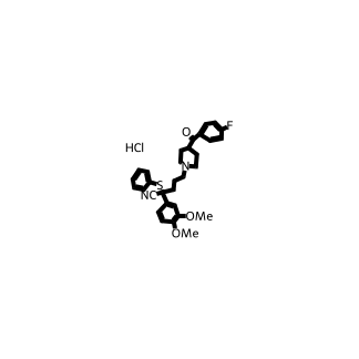 COc1ccc(C(C#N)(CCCN2CCC(C(=O)c3ccc(F)cc3)CC2)Sc2ccccc2)cc1OC.Cl